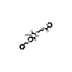 CCCN1C(=O)[C@H](CCCCNC(=O)c2ccccn2)NC(=O)C12CCN(CCc1ccccc1)CC2